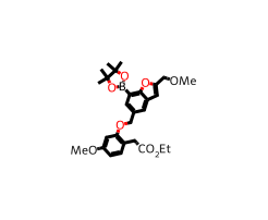 CCOC(=O)Cc1ccc(OC)cc1OCc1cc(B2OC(C)(C)C(C)(C)O2)c2oc(COC)cc2c1